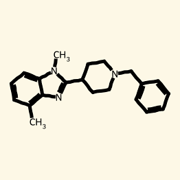 Cc1cccc2c1nc(C1CCN(Cc3ccccc3)CC1)n2C